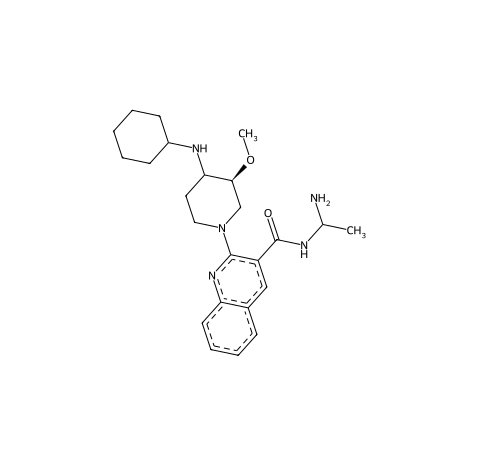 CO[C@H]1CN(c2nc3ccccc3cc2C(=O)NC(C)N)CCC1NC1CCCCC1